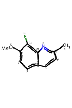 COc1ccc2ccc(C)nc2c1F